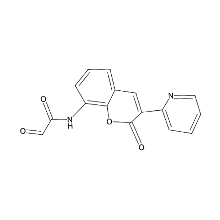 O=CC(=O)Nc1cccc2cc(-c3ccccn3)c(=O)oc12